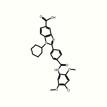 COc1cc(NC(=O)c2ccc(-c3nc4cc(C(=O)O)ccc4n3C3CCCCC3)cc2)c(OC)cc1Cl